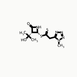 Cn1nnnc1CC(=S)S[C@H]1NC(=O)[C@H]1C(C)(C)O